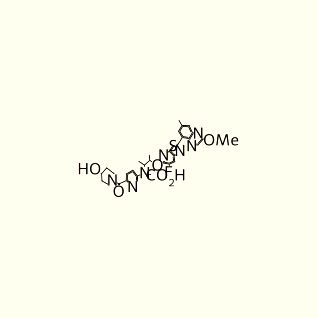 COc1cnc2c(-c3nc4cc(F)c(OC(C)C(C)N(C(=O)O)c5ccc(C(=O)N6CCC(O)CC6)nc5)nc4s3)cc(C)cc2n1